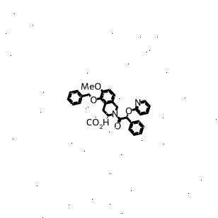 COc1ccc2c(c1OCc1ccccc1)C[C@@H](C(=O)O)N(C(=O)[C@@H](Oc1ccccn1)c1ccccc1)C2